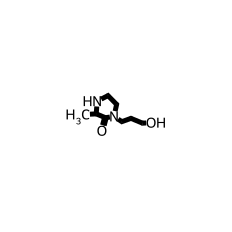 CC1NCCN(CCCO)C1=O